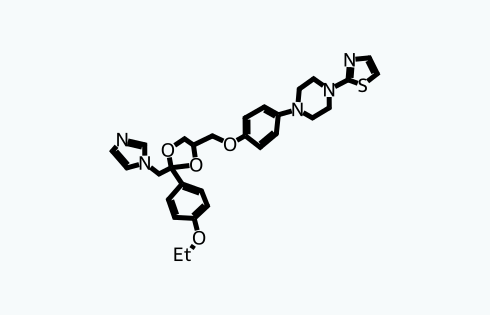 CCOc1ccc(C2(Cn3ccnc3)OCC(COc3ccc(N4CCN(c5nccs5)CC4)cc3)O2)cc1